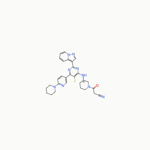 N#CCC(=O)N1CCC[C@@H](Nc2nc(-c3cnn4ccccc34)nc(-c3ccc(N4CC[CH]CC4)nc3)c2F)C1